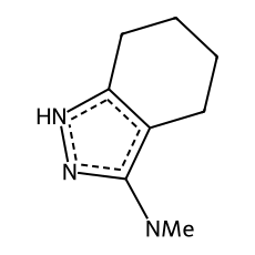 CNc1n[nH]c2c1CCCC2